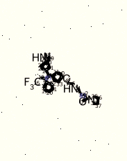 O=C(/C=C/CNCCOc1ccc(/C(=C(/CC(F)(F)F)c2ccccc2)c2ccc3[nH]ncc3c2)cc1)N1CCCC1